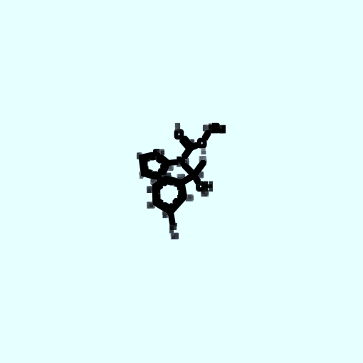 CC(C)(C)OC(=O)N(c1nccs1)C(C)(O)c1cccc(F)c1